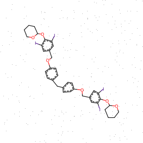 Ic1cc(COc2ccc(Cc3ccc(OCc4cc(I)c(OC5CCCCO5)c(I)c4)cc3)cc2)cc(I)c1OC1CCCCO1